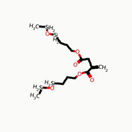 C=C(CC(=O)OCCC[SiH2]O[SiH2]C)C(=O)OCCC[SiH2]O[SiH2]C